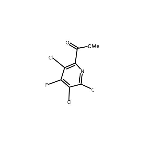 COC(=O)c1nc(Cl)c(Cl)c(F)c1Cl